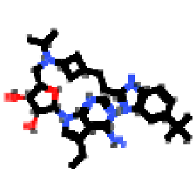 CCc1cn([C@@H]2O[C@H](CN(C(C)C)C3CC(CCc4nc5cc(C(C)(C)C)ccc5[nH]4)C3)[C@@H](O)[C@H]2O)c2ncnc(N)c12